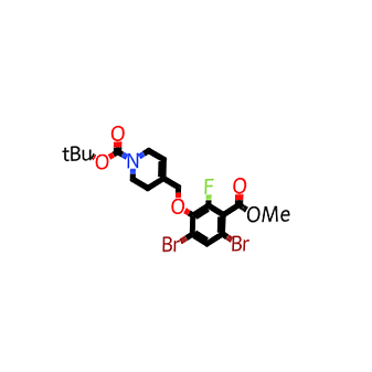 COC(=O)c1c(Br)cc(Br)c(OCC2=CCN(C(=O)OC(C)(C)C)CC2)c1F